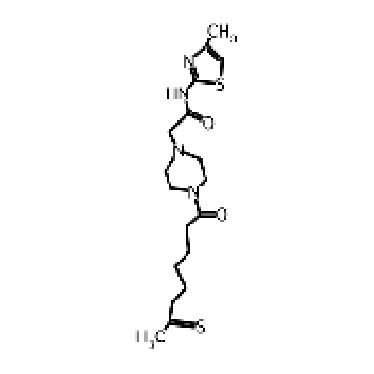 CC(=S)CCCCCC(=O)N1CCN(CC(=O)Nc2nc(C)cs2)CC1